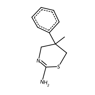 CC1(c2ccccc2)CN=C(N)SC1